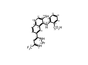 CC(C)N/C(=C\C(=N)C(F)(F)F)c1ccc2ncc(S)c(Nc3ccccc3C(=O)O)c2c1